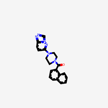 O=C(c1cccc2ccccc12)N1CCN(c2ccc3nncn3n2)CC1